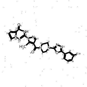 Cc1c(C(=O)N2CCN(c3nnc(-c4cccc(F)c4)o3)CC2)cnn1-c1nn2cccc2c(=O)[nH]1